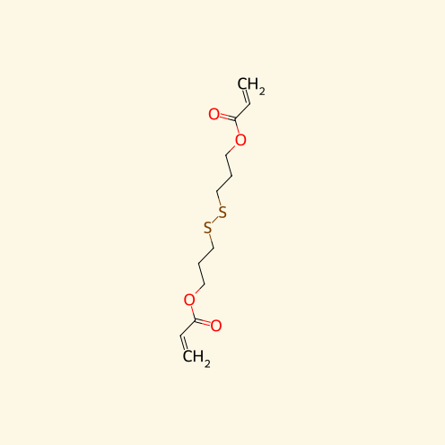 C=CC(=O)OCCCSSCCCOC(=O)C=C